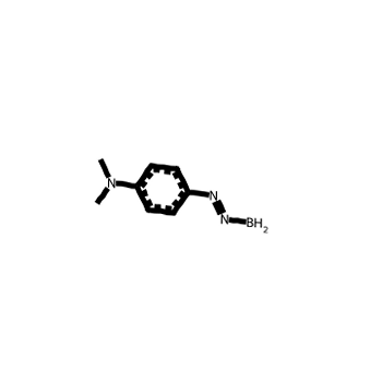 BN=Nc1ccc(N(C)C)cc1